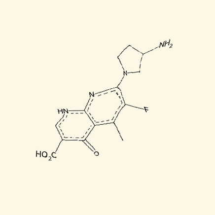 Cc1c(F)c(N2CCC(N)C2)nc2[nH]cc(C(=O)O)c(=O)c12